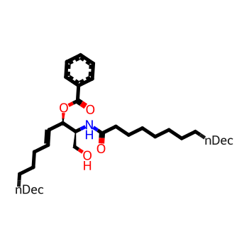 CCCCCCCCCCCCC/C=C/[C@@H](OC(=O)c1ccccc1)[C@H](CO)NC(=O)CCCCCCCCCCCCCCCCC